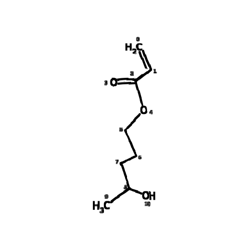 C=CC(=O)OCCCC(C)O